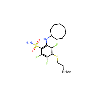 CC(=O)NCCSc1c(F)c(F)c(S(N)(=O)=O)c(NC2CCCCCCC2)c1F